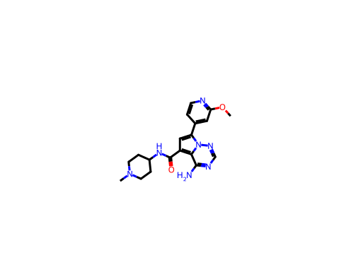 COc1cc(-c2cc(C(=O)NC3CCN(C)CC3)c3c(N)ncnn23)ccn1